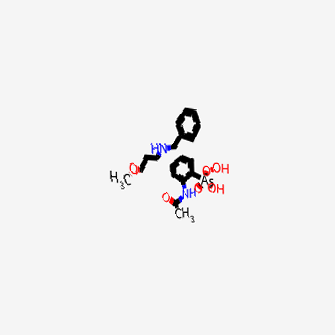 CC(=O)Nc1ccccc1[As](=O)(O)OO.COCCCNCc1ccccc1